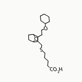 O=C(O)CCCCSCC1C2CCC(O2)C1CCOC1CCCCC1